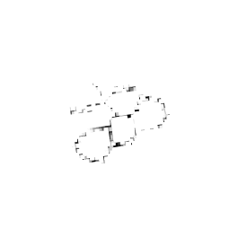 CO[Si](C)(OC)c1c2ccccc2cc2ccccc12